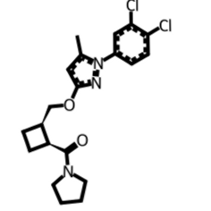 Cc1cc(OC[C@@H]2CC[C@@H]2C(=O)N2CCCC2)nn1-c1ccc(Cl)c(Cl)c1